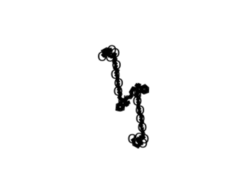 CC1(C)C(\C=C/C=C\C=C2\N(CCOCCOCCOCCOCCC(=O)ON3C(=O)CCC3=O)c3ccccc3C2(C)C)=[N+](CCOCCOCCOCCOCCC(=O)ON2C(=O)CCC2=O)c2ccccc21